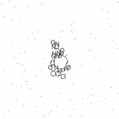 COc1ncc(C(=O)N[S@@]2(=O)=NC(=O)c3ccc4c(c3)N(C[C@@H]3CC[C@H]3[C@@H](OC)/C=C/C[C@H](C)C2)C[C@@]2(CCCc3cc(Cl)ccc32)CO4)cn1